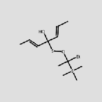 CC=CC(O)(C=CC)SOC(C)(CC)S(C)(C)C